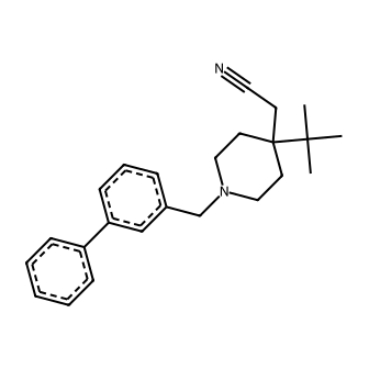 CC(C)(C)C1(CC#N)CCN(Cc2cccc(-c3ccccc3)c2)CC1